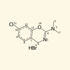 Br.CN(C)C1=NCc2ccc(Cl)cc2O1